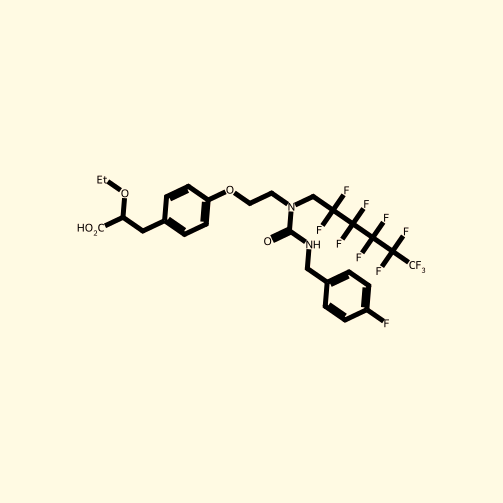 CCOC(Cc1ccc(OCCN(CC(F)(F)C(F)(F)C(F)(F)C(F)(F)C(F)(F)F)C(=O)NCc2ccc(F)cc2)cc1)C(=O)O